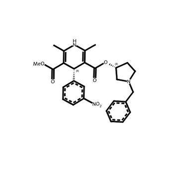 COC(=O)C1=C(C)NC(C)=C(C(=O)O[C@@H]2CCN(Cc3ccccc3)C2)[C@@H]1c1cccc([N+](=O)[O-])c1